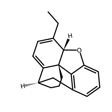 CCC1=CC=C2[C@@H]3CCC[C@@]24c2c(cccc2O[C@@H]14)C3